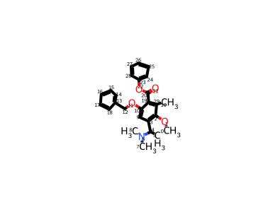 COc1c(C(C)N(C)C)cc(OCc2ccccc2)c(C(=O)Oc2ccccc2)c1C